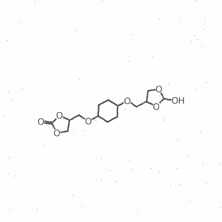 O=C1OCC(COC2CCC(OCC3COC(O)O3)CC2)O1